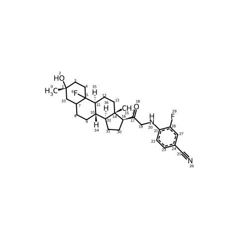 C[C@@]1(O)CCC2(F)C(CC[C@@H]3[C@@H]2CC[C@]2(C)[C@@H](C(=O)CNc4ccc(C#N)cc4F)CC[C@@H]32)C1